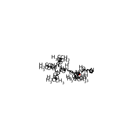 CC(C)(C)OC(=O)CN1CCN(CC(=O)NCCOCCn2nc(NCC(=O)NCc3cccnc3)cc2[Si](F)(C(C)(C)C)C(C)(C)C)CCN(CC(=O)OC(C)(C)C)CCN(CC(=O)OC(C)(C)C)CC1